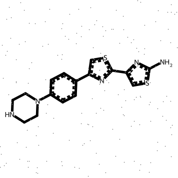 Nc1nc(-c2nc(-c3ccc(N4CCNCC4)cc3)cs2)cs1